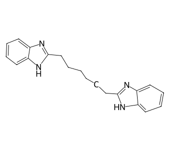 c1ccc2[nH]c(CCCCCCc3nc4ccccc4[nH]3)nc2c1